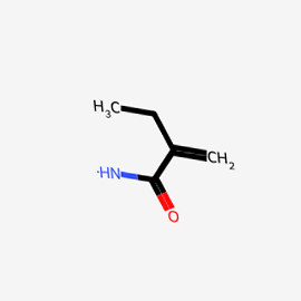 C=C(CC)C([NH])=O